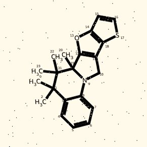 CC1(C)c2ccccc2N2Cc3c(oc4ccsc34)C2(C)C1(C)C